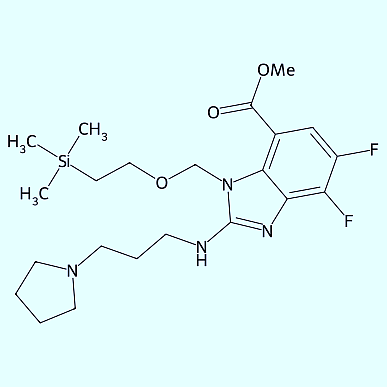 COC(=O)c1cc(F)c(F)c2nc(NCCCN3CCCC3)n(COCC[Si](C)(C)C)c12